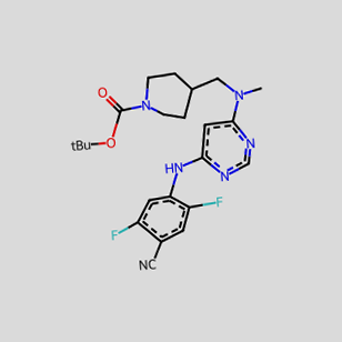 CN(CC1CCN(C(=O)OC(C)(C)C)CC1)c1cc(Nc2cc(F)c(C#N)cc2F)ncn1